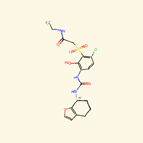 O=C(CS(=O)(=O)c1c(Cl)ccc(NC(=O)N[C@@H]2CCCc3ccoc32)c1O)NCC(F)(F)F